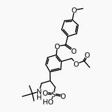 COc1ccc(C(=O)Oc2ccc(C(CNC(C)(C)C)CS(=O)(=O)O)cc2COC(C)=O)cc1